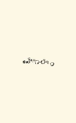 CC(C)(C)OC(=O)NCc1ccc(-c2ccc(OCc3ccccc3)nc2)cc1